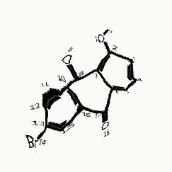 COc1cccc2c1C(=O)c1ccc(Br)cc1C2=O